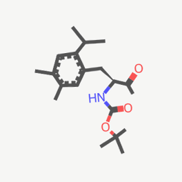 CC(=O)[C@H](Cc1cc(C)c(C)cc1C(C)C)NC(=O)OC(C)(C)C